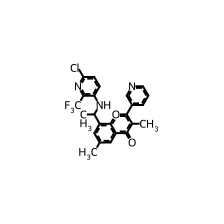 Cc1cc(C(C)Nc2ccc(Cl)nc2C(F)(F)F)c2oc(-c3cccnc3)c(C)c(=O)c2c1